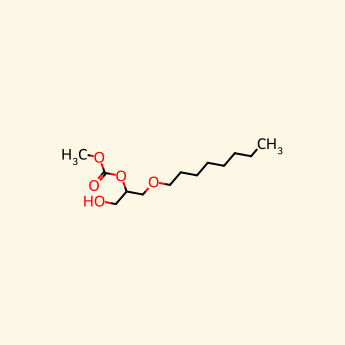 CCCCCCCCOCC(CO)OC(=O)OC